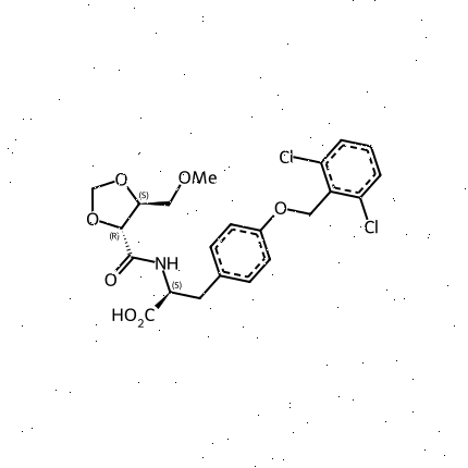 COC[C@@H]1OCO[C@H]1C(=O)N[C@@H](Cc1ccc(OCc2c(Cl)cccc2Cl)cc1)C(=O)O